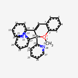 C[O+]1c2ccccc2C=C(c2ccccn2)[B-]1(c1ccccn1)c1ccccn1